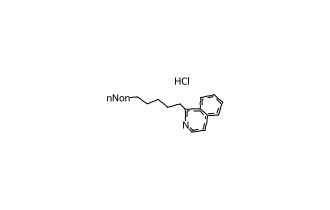 CCCCCCCCCCCCCCc1nccc2ccccc12.Cl